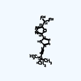 C[Si](C)(C)C#Cc1ccc(-c2nnc(C(F)F)o2)s1